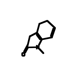 CN1C(=O)CC2=C1C=CCC2